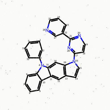 c1ccc(-n2c3ccccc3c3cc4ccn(-c5ccnc(-c6cccnc6)n5)c4cc32)cc1